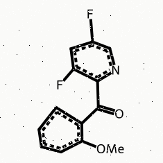 COc1ccccc1C(=O)c1ncc(F)cc1F